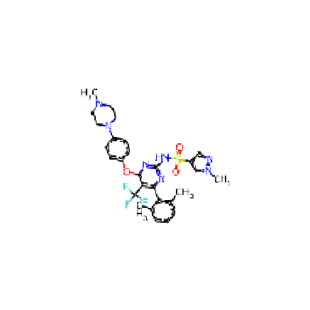 Cc1cccc(C)c1-c1nc(NS(=O)(=O)c2cnn(C)c2)nc(Oc2ccc(N3CCN(C)CC3)cc2)c1C(F)(F)F